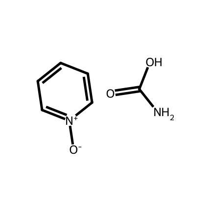 NC(=O)O.[O-][n+]1ccccc1